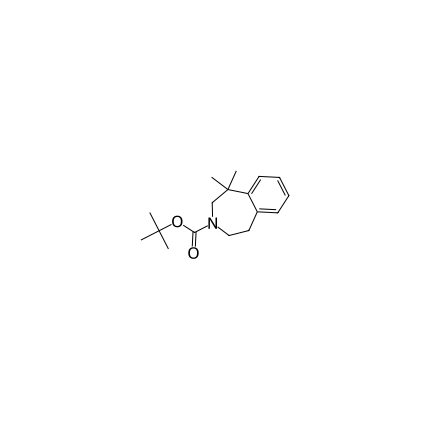 CC(C)(C)OC(=O)N1CCc2ccccc2C(C)(C)C1